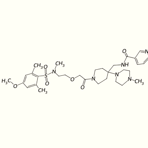 COc1cc(C)c(S(=O)(=O)N(C)CCOCC(=O)N2CCC(CNC(=O)c3cccnc3)(N3CCN(C)CC3)CC2)c(C)c1